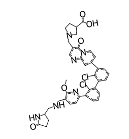 COc1nc(-c2cccc(-c3cccc(-c4ccn5c(=O)c(CN6CCC(C(=O)O)C6)cnc5c4)c3Cl)c2Cl)ccc1CNCC1CCC(=O)N1